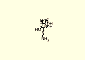 C=CC(N(O)C(CCCCN)C(=O)O)P(=O)(O)O